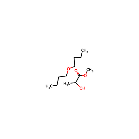 CCCCOCCCC.COC(=O)C(C)O